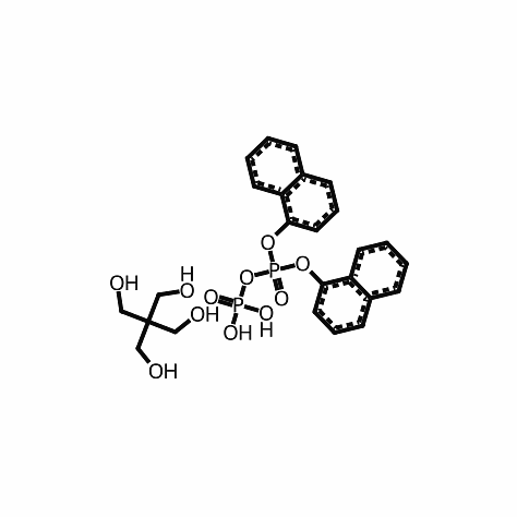 O=P(O)(O)OP(=O)(Oc1cccc2ccccc12)Oc1cccc2ccccc12.OCC(CO)(CO)CO